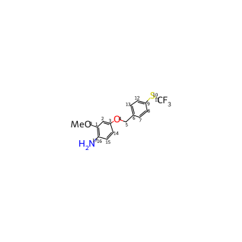 COc1cc(OCc2ccc(SC(F)(F)F)cc2)ccc1N